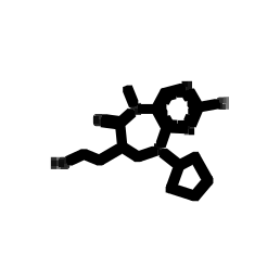 CN1C(=O)C(CCO)CN(C2CCCC2)c2nc(Cl)ncc21